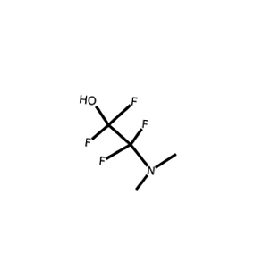 CN(C)C(F)(F)C(O)(F)F